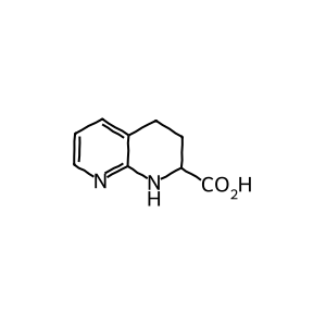 O=C(O)C1CCc2cccnc2N1